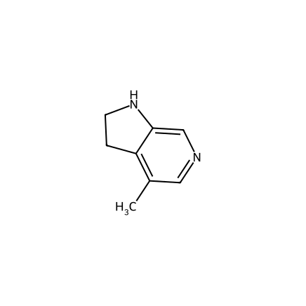 Cc1cncc2c1CCN2